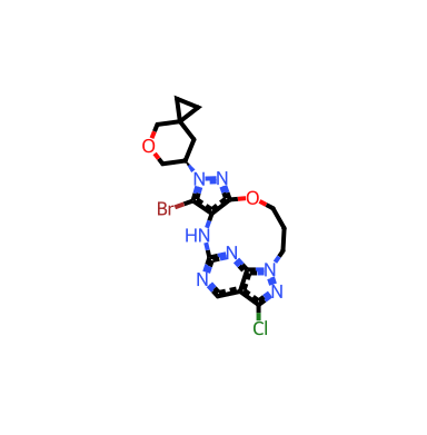 Clc1nn2c3nc(ncc13)Nc1c(nn([C@H]3COCC4(CC4)C3)c1Br)OCCC2